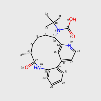 C[C@@H]1CCC[C@H](N(C(=O)O)C(C)(C)C)c2cc(ccn2)-c2ccccc2NC1=O